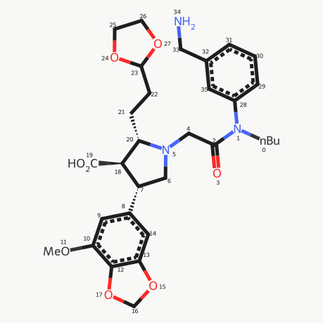 CCCCN(C(=O)CN1C[C@H](c2cc(OC)c3c(c2)OCO3)[C@@H](C(=O)O)[C@@H]1CCC1OCCO1)c1cccc(CN)c1